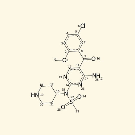 COc1ccc(Cl)cc1C(=O)c1cnc(N(C2CCNCC2)S(C)(=O)=O)nc1N